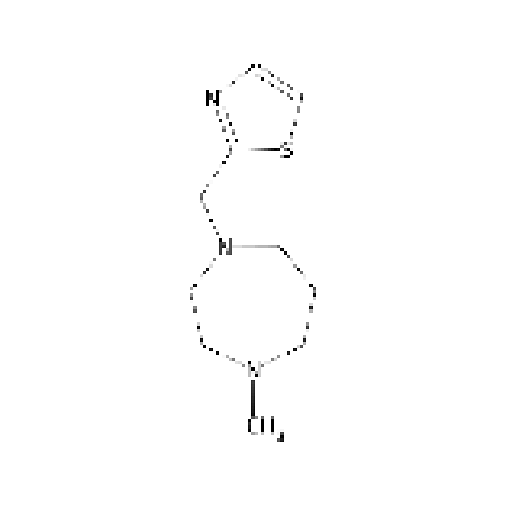 CN1CCCN(Cc2nccs2)CC1